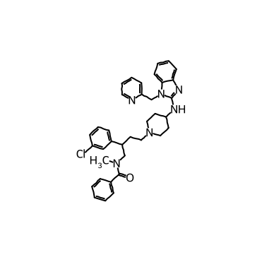 CN(CC(CCN1CCC(Nc2nc3ccccc3n2Cc2ccccn2)CC1)c1cccc(Cl)c1)C(=O)c1ccccc1